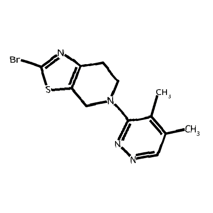 Cc1cnnc(N2CCc3nc(Br)sc3C2)c1C